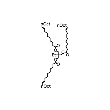 CCCCCCCCC=CCCCCCCCC(=O)OCC(CC)(COC(=O)CCCCCCCC=CCCCCCCCC)COC(=O)CCCCCCCC=CCCCCCCCC